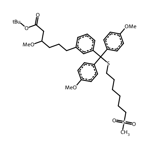 COc1ccc(C(SCCCCCCS(C)(=O)=O)(c2ccc(OC)cc2)c2cccc(CCCC(CC(=O)OC(C)(C)C)OC)c2)cc1